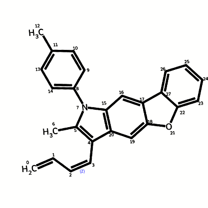 C=C/C=C\c1c(C)n(-c2ccc(C)cc2)c2cc3c(cc12)oc1ccccc13